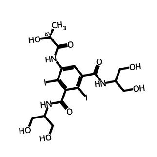 C[C@H](O)C(=O)Nc1cc(C(=O)NC(CO)CO)c(I)c(C(=O)NC(CO)CO)c1I